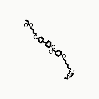 C=CC(=O)OCCCCOc1ccc(-c2ccc(OC(=O)c3ccc(OCCCCCC[n+]4ccn(C=C)c4)cc3)cc2)cc1